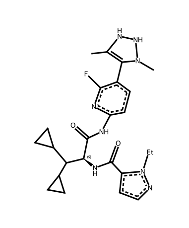 CCn1nccc1C(=O)N[C@H](C(=O)Nc1ccc(C2=C(C)NNN2C)c(F)n1)C(C1CC1)C1CC1